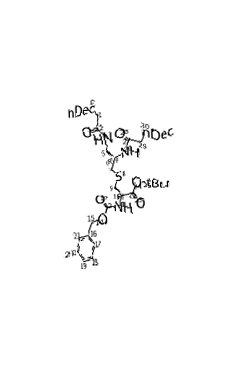 CCCCCCCCCCCC(=O)NC[C@H](CSC[C@H](NC(=O)OCc1ccccc1)C(=O)OC(C)(C)C)NC(=O)CCCCCCCCCCC